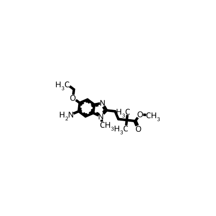 CCOc1cc2nc(CCC(C)(C)C(=O)OC)n(C)c2cc1N